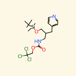 CC(C)(C)[Si](C)(C)OCC(CNC(=O)OCC(Cl)(Cl)Cl)Cc1ccncc1